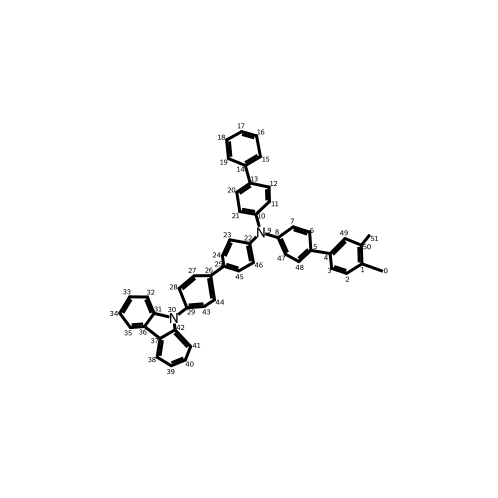 Cc1ccc(-c2ccc(N(c3ccc(-c4ccccc4)cc3)c3ccc(-c4ccc(-n5c6ccccc6c6ccccc65)cc4)cc3)cc2)cc1C